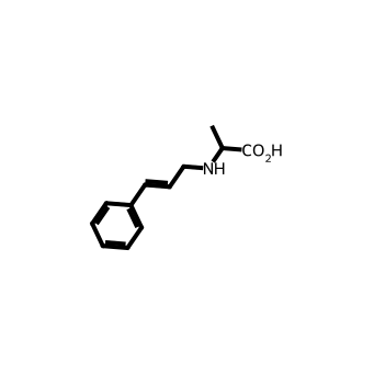 CC(NCC=Cc1ccccc1)C(=O)O